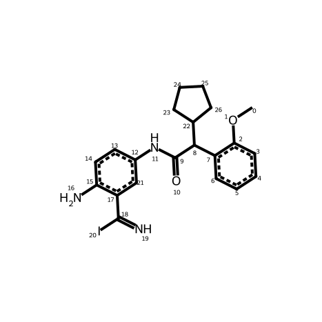 COc1ccccc1C(C(=O)Nc1ccc(N)c(C(=N)I)c1)C1CCCC1